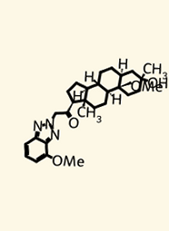 COC[C@]12CC[C@@](C)(O)C[C@@H]1CC[C@H]1[C@@H]3CC[C@H](C(=O)Cn4nc5cccc(OC)c5n4)[C@@]3(C)CC[C@@H]12